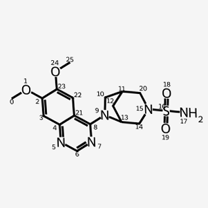 COc1cc2ncnc(N3CC4CC3CN(S(N)(=O)=O)C4)c2cc1OC